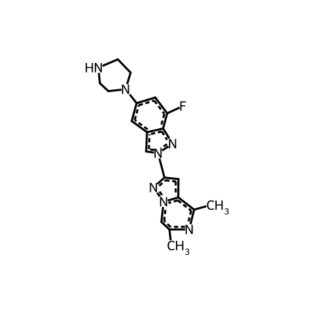 Cc1cn2nc(-n3cc4cc(N5CCNCC5)cc(F)c4n3)cc2c(C)n1